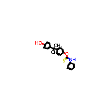 CC(C)(c1ccc(O)cc1)c1ccc(OC(=S)Nc2ccccc2)cc1